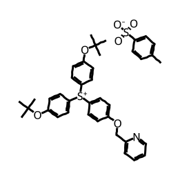 CC(C)(C)Oc1ccc([S+](c2ccc(OCc3ccccn3)cc2)c2ccc(OC(C)(C)C)cc2)cc1.Cc1ccc(S(=O)(=O)[O-])cc1